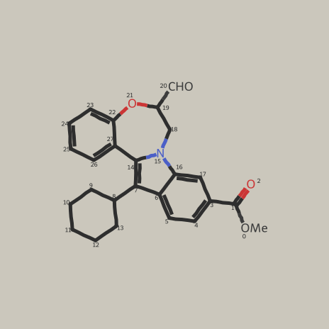 COC(=O)c1ccc2c(C3CCCCC3)c3n(c2c1)CC(C=O)Oc1ccccc1-3